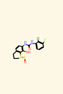 O=S=S1CCCc2ccc(NC(=O)Nc3cccc(F)c3Cl)c(O)c21